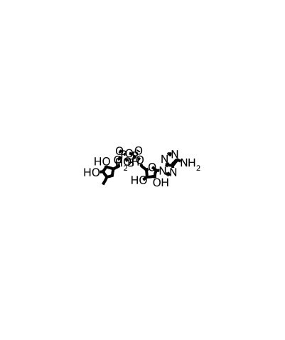 BP(=O)(OCC1OC(n2cnc3c(N)ncnc32)C(O)C1O)OP(=O)(O)OCC1CC(C)C(O)C1O